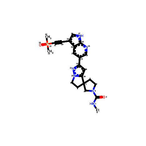 CCNC(=O)N1CCC2(CCn3nc(-c4cnc5[nH]cc(C#CP(C)(C)=O)c5c4)cc32)C1